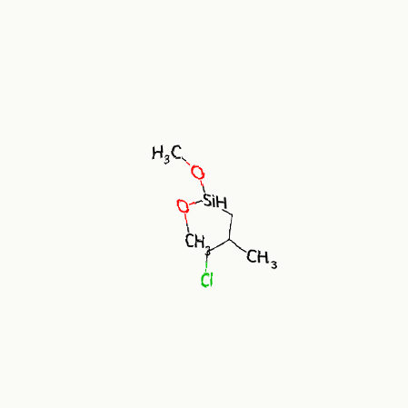 CO[SiH](CC(C)CCl)OC